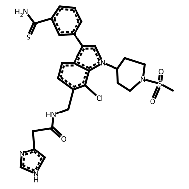 CS(=O)(=O)N1CCC(n2cc(-c3cccc(C(N)=S)c3)c3ccc(CNC(=O)Cc4c[nH]cn4)c(Cl)c32)CC1